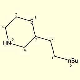 CCCCCCC1CNCCS1